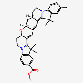 COC(=O)c1ccc2c(c1)C(C)(C)C1=[N+]2CCC2O[C@H]3C[C@H]4CCN5C(=C4C=C3C=C12)C(C)(C)c1cc(C)ccc15